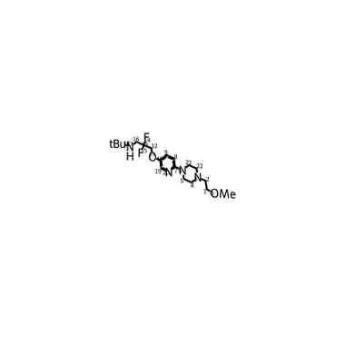 COCCN1CCN(c2ccc(OCC(F)(F)CNC(C)(C)C)cn2)CC1